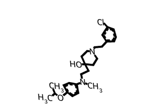 CC(C)Oc1ccc(N(C)CCC2(O)CCN(CCc3cccc(Cl)c3)CC2)cc1